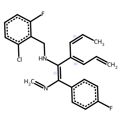 C=C/C=C(\C=C/C)C(/NCc1c(F)cccc1Cl)=C(/N=C)c1ccc(F)cc1